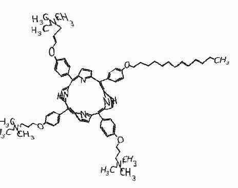 CCCCCCCCCCCCCOc1ccc(-c2c3nc(c(-c4ccc(OCCC[N+](C)(C)C)cc4)c4ccc([nH]4)c(-c4ccc(OCCC[N+](C)(C)C)cc4)c4nc(c(-c5ccc(OCCC[N+](C)(C)C)cc5)c5ccc2[nH]5)C=C4)C=C3)cc1